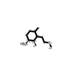 CCCC[C@H]1CCC(C)C(CCSI)[C@H]1C